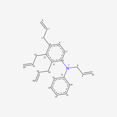 C=CCc1ccc(N(CC=C)c2ccccc2)c(CC=C)c1CC=C